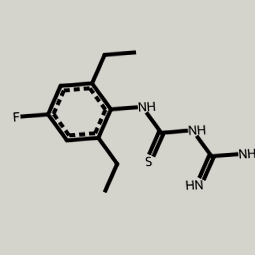 CCc1cc(F)cc(CC)c1NC(=S)NC(=N)N